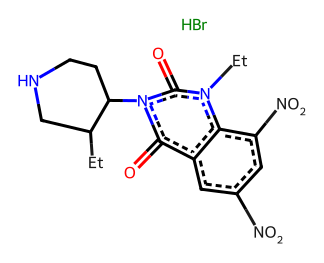 Br.CCC1CNCCC1n1c(=O)c2cc([N+](=O)[O-])cc([N+](=O)[O-])c2n(CC)c1=O